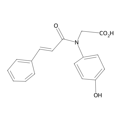 O=C(O)CN(C(=O)/C=C/c1ccccc1)c1ccc(O)cc1